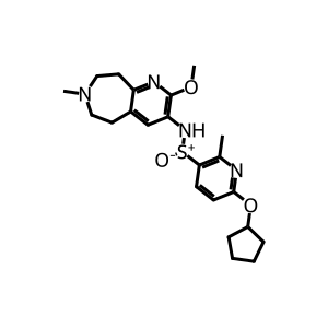 COc1nc2c(cc1N[S+]([O-])c1ccc(OC3CCCC3)nc1C)CCN(C)CC2